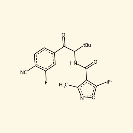 Cc1noc(C(C)C)c1C(=O)NC(C(=O)c1ccc(C#N)c(F)c1)C(C)(C)C